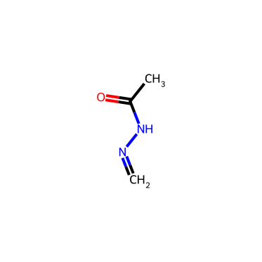 C=NNC(C)=O